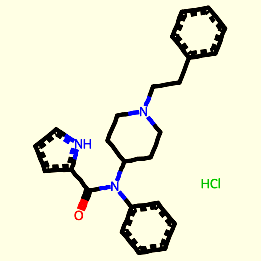 Cl.O=C(c1ccc[nH]1)N(c1ccccc1)C1CCN(CCc2ccccc2)CC1